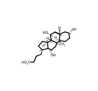 C[C@]12CC[C@@H](O)C[C@H]1C[C@@H](O)[C@H]1[C@@H]3CC[C@H](CCCC(=O)O)C3[C@@H](O)C[C@@H]12